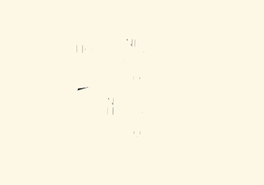 NC(=O)[C@@H](O)[C@H](Cc1ccccc1)NCC(=O)c1ccccc1